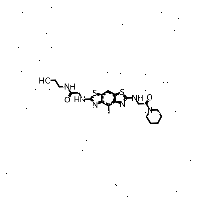 Cc1c2nc(NCC(=O)NCCO)sc2cc2sc(NCC(=O)N3CCCCC3)nc12